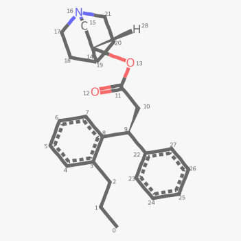 CCCc1ccccc1[C@@H](CC(=O)O[C@H]1CN2CCC1CC2)c1ccccc1